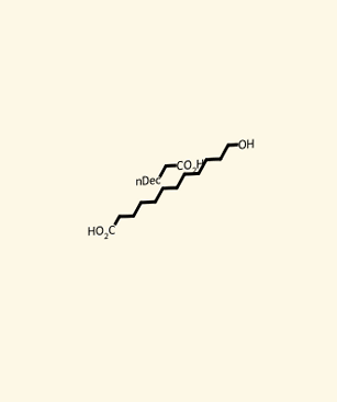 CCCCCCCCCCCC(=O)O.O=C(O)CCCCCCCCCCCO